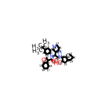 CC(C)(C)c1ccc(N(C(=O)c2coc3ccccc23)C(C(=O)N[C@@H]2c3ccccc3C[C@@H]2O)c2cccnc2)cc1